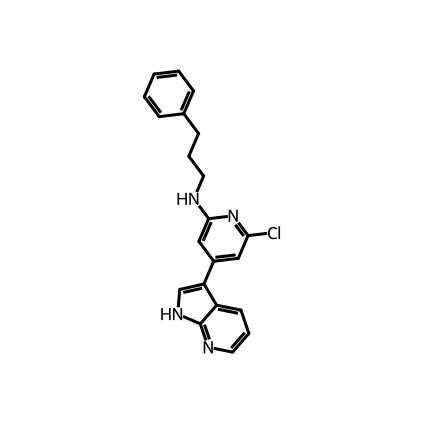 Clc1cc(-c2c[nH]c3ncccc23)cc(NCCCc2ccccc2)n1